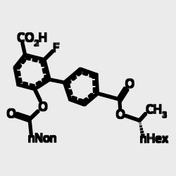 CCCCCCCCCC(=O)Oc1ccc(C(=O)O)c(F)c1-c1ccc(C(=O)O[C@H](C)CCCCCC)cc1